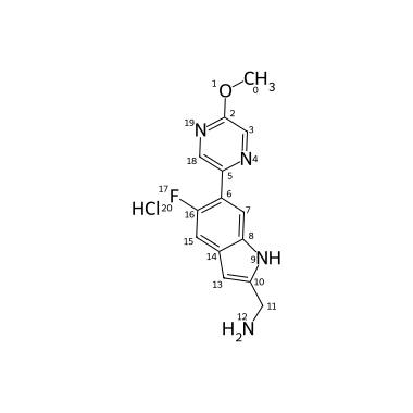 COc1cnc(-c2cc3[nH]c(CN)cc3cc2F)cn1.Cl